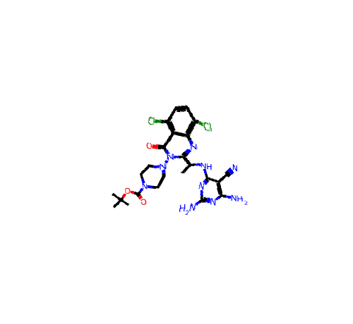 CC(Nc1nc(N)nc(N)c1C#N)c1nc2c(Cl)ccc(Cl)c2c(=O)n1N1CCN(C(=O)OC(C)(C)C)CC1